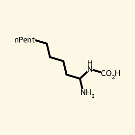 CCCCCCCCCC(N)NC(=O)O